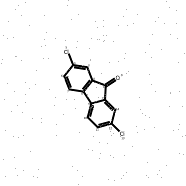 O=C1c2cc(Cl)ccc2-c2ccc(Cl)cc21